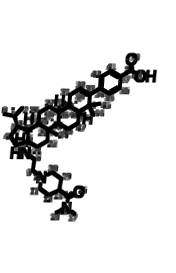 CC(C)[C@@H]1CC[C@]2(NCCN3CCC(C(=O)N(C)C)CC3)CC[C@]3(C)[C@H](CC[C@@H]4[C@@]5(C)CC=C(c6ccc(C(=O)O)cc6)C(C)(C)[C@@H]5CC[C@]43C)[C@@H]12